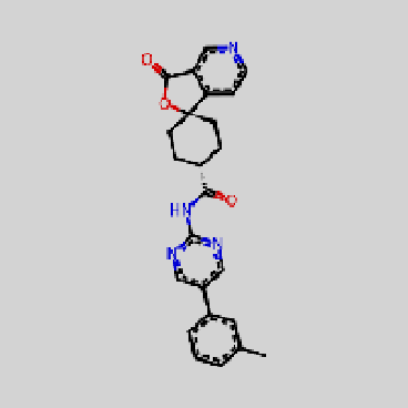 Cc1cccc(-c2cnc(NC(=O)[C@H]3CC[C@@]4(CC3)OC(=O)c3cnccc34)nc2)c1